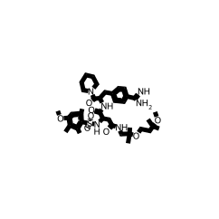 COc1cc(C)c(S(=O)(=O)NC(CC(=O)NCC(C)(C)OCCC(C)(C)OC)C(=O)NC(Cc2ccc(C(=N)N)cc2)C(=O)N2CCCCC2)c(C)c1C